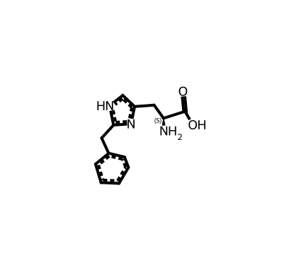 N[C@@H](Cc1c[nH]c(Cc2ccccc2)n1)C(=O)O